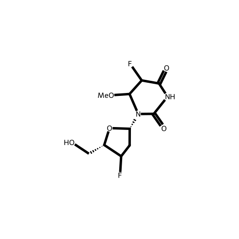 COC1C(F)C(=O)NC(=O)N1[C@@H]1CC(F)[C@H](CO)O1